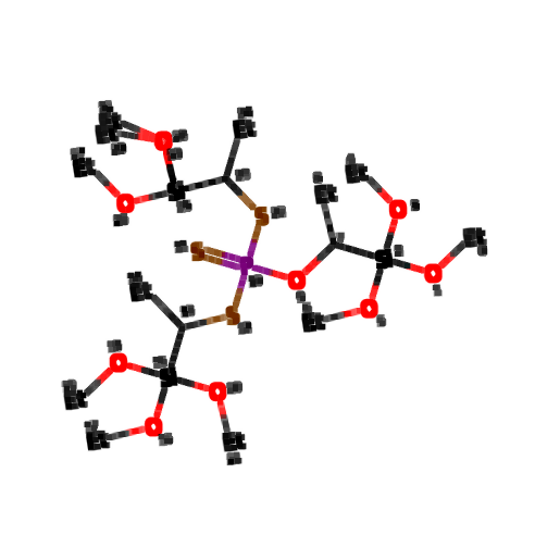 CCO[Si](OCC)(OCC)C(CC)OP(=S)(SC(CC)[Si](OCC)(OCC)OCC)SC(CC)[Si](OCC)(OCC)OCC